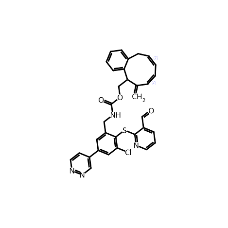 C=C1/C=C\C=C/Cc2ccccc2C1COC(=O)NCc1cc(-c2ccnnc2)cc(Cl)c1Sc1ncccc1C=O